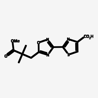 COC(=O)C(C)(C)Cc1nc(-c2nc(C(=O)O)cs2)no1